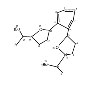 CC(N1CCC(c2ccccc2C2CCN(C(C)C(C)(C)C)O2)O1)C(C)(C)C